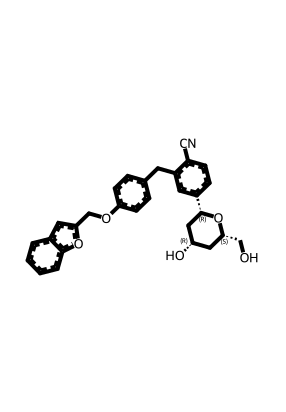 N#Cc1ccc([C@H]2C[C@@H](O)C[C@@H](CO)O2)cc1Cc1ccc(OCc2cc3ccccc3o2)cc1